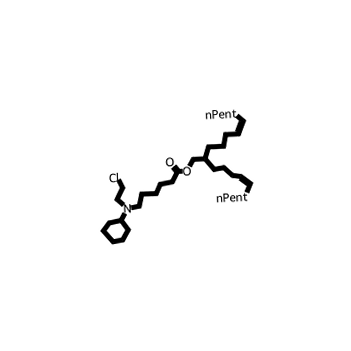 CCCCC/C=C\CCCC(CCC/C=C\CCCCC)COC(=O)CCCCCN(CCCl)C1CCCCC1